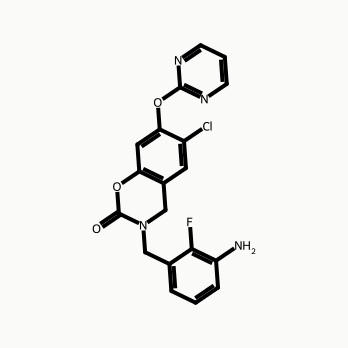 Nc1cccc(CN2Cc3cc(Cl)c(Oc4ncccn4)cc3OC2=O)c1F